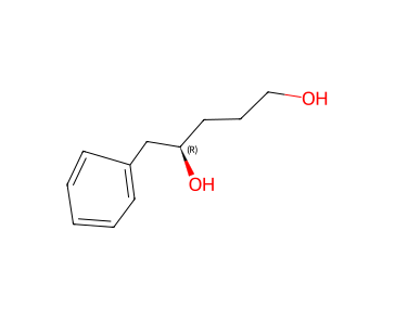 OCCC[C@@H](O)Cc1ccccc1